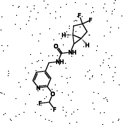 O=C(NCc1ccnc(OC(F)F)c1)NC1[C@H]2CC(F)(F)C[C@@H]12